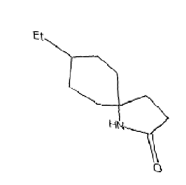 CCC1CCC2(CCC(=O)N2)CC1